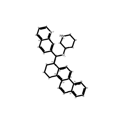 c1cnc2cc(C(OC3CCCNC3)C3CCCc4c3ccc3c4ccc4ccccc43)ccc2c1